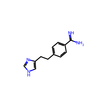 N=C(N)c1ccc(CCc2c[nH]cn2)cc1